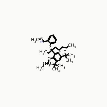 CCCCCC(CC)(Pc1ccccc1/C=N/C)c1cc(C(C)(C)C)cc(C(C)(C)C)c1OCOC